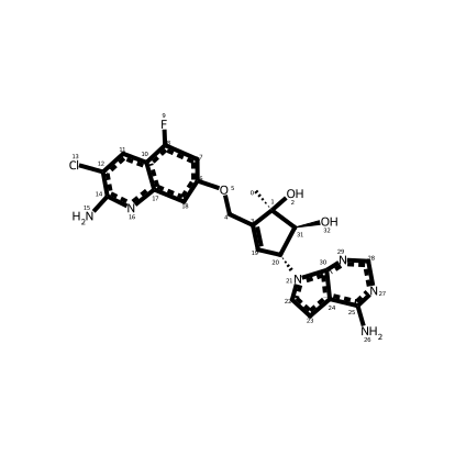 C[C@@]1(O)C(COc2cc(F)c3cc(Cl)c(N)nc3c2)=C[C@@H](n2ccc3c(N)ncnc32)[C@@H]1O